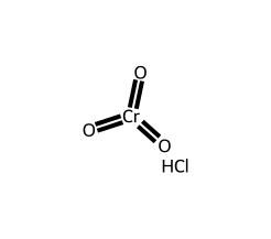 Cl.[O]=[Cr](=[O])=[O]